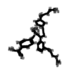 COCOc1cccc(C(CN2CCC(OCOC)C2)N(C)c2ccc(C(=O)O)cc2)c1